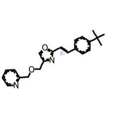 CC(C)(C)c1ccc(/C=C/c2nc(COCc3ccccn3)co2)cc1